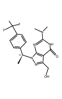 C[C@@H](c1ccc(C(C)(F)F)cc1)n1nc(CO)c2c(=O)[nH]c(N(C)C)nc21